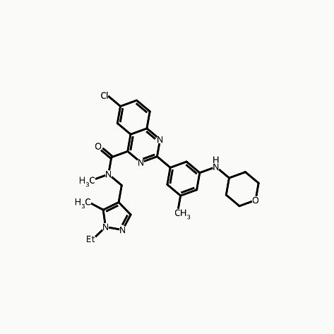 CCn1ncc(CN(C)C(=O)c2nc(-c3cc(C)cc(NC4CCOCC4)c3)nc3ccc(Cl)cc23)c1C